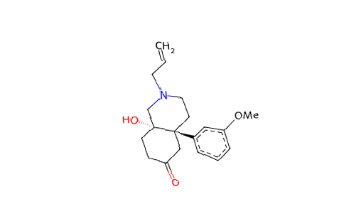 C=CCN1CC[C@]2(c3cccc(OC)c3)CC(=O)CC[C@@]2(O)C1